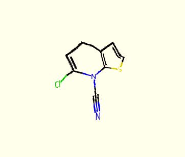 N#CN1C(Cl)=CCc2ccsc21